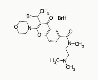 Br.CC(Br)c1c(N2CCOCC2)oc2ccc(C(=O)N(C)CCN(C)C)cc2c1=O